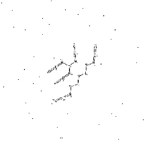 O=C=NC(N=C=O)N=C=O.O=C=NCCCCCN=C=O